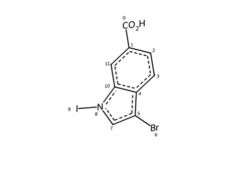 O=C(O)c1ccc2c(Br)cn(I)c2c1